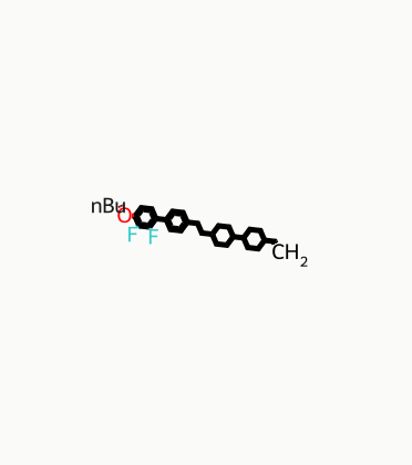 C=CC1CCC(C2CCC(CCc3ccc(-c4ccc(OCCCC)c(F)c4F)cc3)CC2)CC1